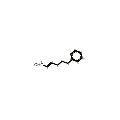 O=C/C=C/CCCc1ccccc1